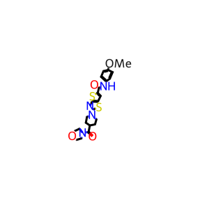 COc1ccc(NC(=O)c2cc3sc(N4CCC(C(=O)N5CCOCC5)CC4)nc3s2)cc1